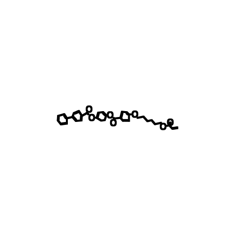 C=CC(=O)OCCCCCCOc1ccc(C(=O)OC2=CC=C(OC(=O)c3ccc(-c4ccccc4)cc3)CC2)cc1